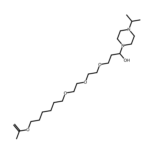 C=C(C)OCCCCCCOCCOCCOCCC(O)N1CCN(C(C)C)CC1